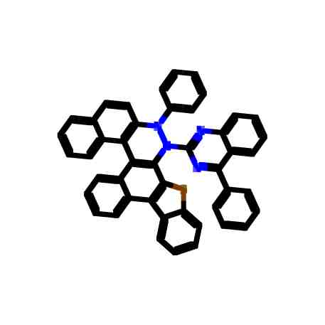 c1ccc(-c2nc(N3c4c(c5ccccc5c5c4sc4ccccc45)-c4c(ccc5ccccc45)N3c3ccccc3)nc3ccccc23)cc1